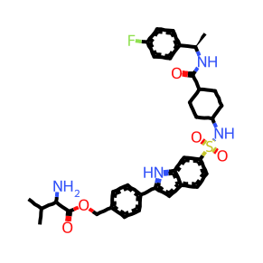 CC(C)C(N)C(=O)OCc1ccc(-c2cc3ccc(S(=O)(=O)NC4CCC(C(=O)N[C@H](C)c5ccc(F)cc5)CC4)cc3[nH]2)cc1